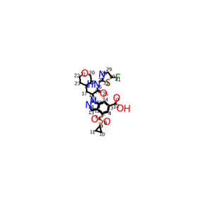 O=C(O)c1cc(S(=O)(=O)C2CC2)c2cnn(C(CC3CCOCC3)C(=O)NC3=NCC(F)S3)c2c1